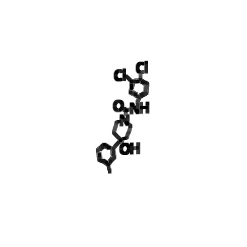 Cc1cccc(C2(O)CCN(C(=O)Nc3ccc(Cl)c(Cl)c3)CC2)c1